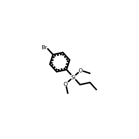 CCC[Si](OC)(OC)c1ccc(Br)cc1